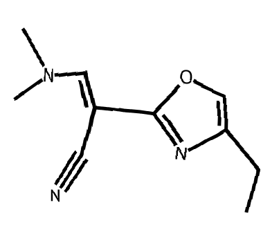 CCc1coc(/C(C#N)=C/N(C)C)n1